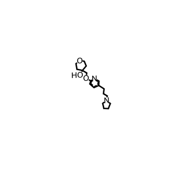 OC1(COc2ccc(CCCN3CCCC3)cn2)CCOCC1